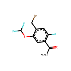 COC(=O)c1cc(OC(F)F)c(CBr)cc1F